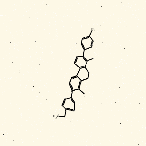 CCc1ccc(-c2ccc3c(c2C)CCc2c-3ccc(-c3ccc(CP)cc3)c2C)cc1